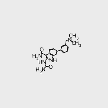 CN(C)Cc1cccc(-c2ccc3c(C(N)=O)c(NC(N)=O)[nH]c3c2)c1